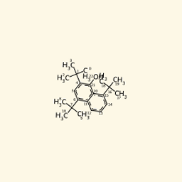 CC(C)(C)c1cc(C(C)(C)C)c2cccc(C(C)(C)C)c2c1O